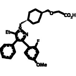 CCc1c(-c2ccccc2)c(-c2ccc(OC)cc2F)nn1C[C@H]1CC[C@H](COCC(=O)O)CC1